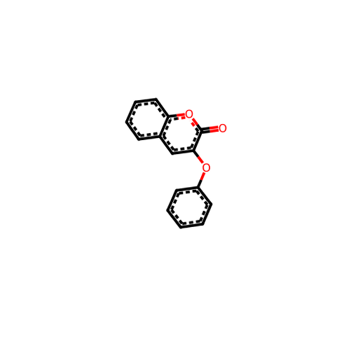 O=c1oc2ccccc2cc1Oc1ccccc1